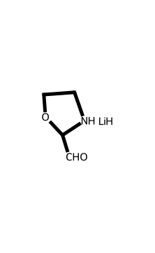 O=CC1NCCO1.[LiH]